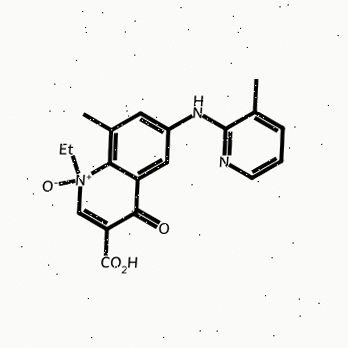 CC[N+]1([O-])C=C(C(=O)O)C(=O)c2cc(Nc3ncccc3C)cc(C)c21